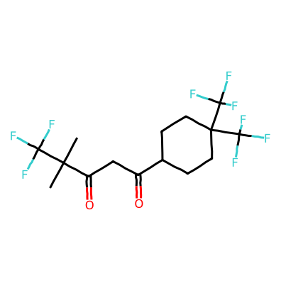 CC(C)(C(=O)CC(=O)C1CCC(C(F)(F)F)(C(F)(F)F)CC1)C(F)(F)F